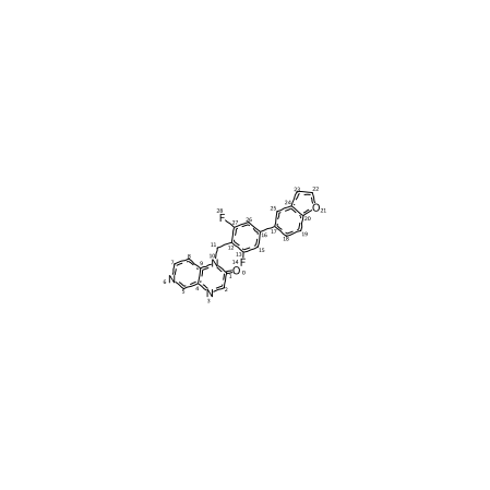 O=c1cnc2cnccc2n1Cc1c(F)cc(-c2ccc3occc3c2)cc1F